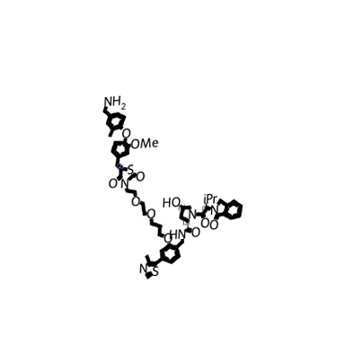 COc1cc(/C=C2\SC(=O)N(CCOCCOCCCOc3cc(-c4scnc4C)ccc3CNC(=O)[C@@H]3C[C@@H](O)CN3C(=O)[C@H](C(C)C)N3Cc4ccccc4C3=O)C2=O)ccc1Oc1ccc(CN)cc1C